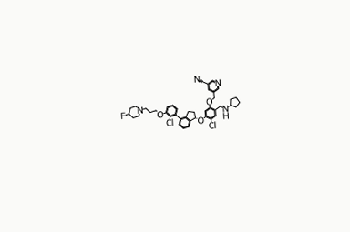 N#Cc1cncc(COc2cc(O[C@H]3CCc4c(-c5cccc(OCCCN6CCC(F)CC6)c5Cl)cccc43)c(Cl)cc2CNC2CCCC2)c1